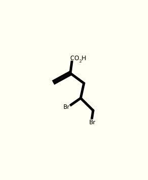 C=C(CC(Br)CBr)C(=O)O